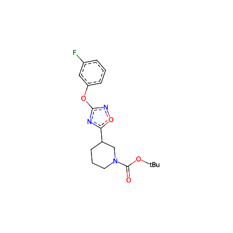 CC(C)(C)OC(=O)N1CCCC(c2nc(Oc3cccc(F)c3)no2)C1